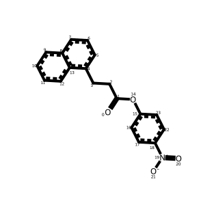 O=C(CCc1cccc2ccccc12)Oc1ccc([N+](=O)[O-])cc1